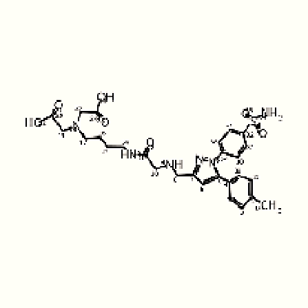 Cc1ccc(-c2cc(CNCC(=O)NCCCCN(CC(=O)O)CC(=O)O)nn2-c2ccc(S(N)(=O)=O)cc2)cc1